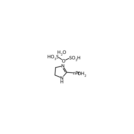 CCCC1=NCCN1.O.O.O=S(=O)(O)OS(=O)(=O)O